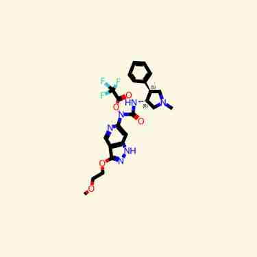 COCCOc1n[nH]c2cc(N(OC(=O)C(F)(F)F)C(=O)N[C@H]3CN(C)C[C@@H]3c3ccccc3)ncc12